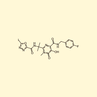 Cn1c(C(C)(C)NC(=O)c2nnc(I)o2)nc(C(=O)NCc2ccc(F)cc2)c(O)c1=O